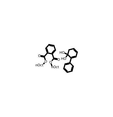 CCCCCCCCOC(=O)c1ccccc1C(=O)OCCCCCCCC.OC1(O)CC=CC=C1c1ccccc1